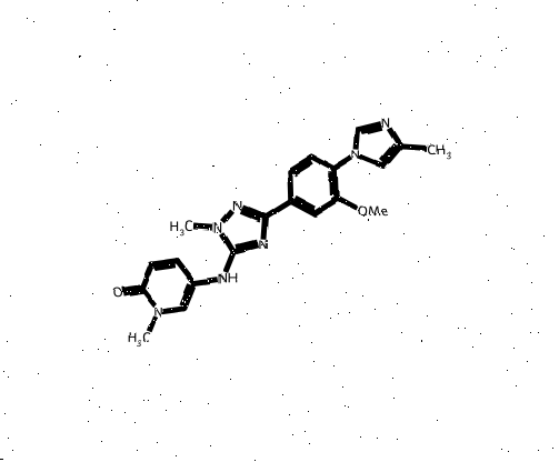 COc1cc(-c2nc(Nc3ccc(=O)n(C)c3)n(C)n2)ccc1-n1cnc(C)c1